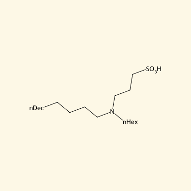 CCCCCCCCCCCCCCN(CCCCCC)CCCS(=O)(=O)O